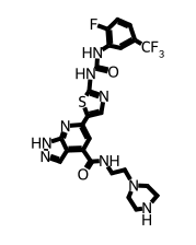 O=C(Nc1ncc(-c2cc(C(=O)NCCN3CCNCC3)c3cn[nH]c3n2)s1)Nc1cc(C(F)(F)F)ccc1F